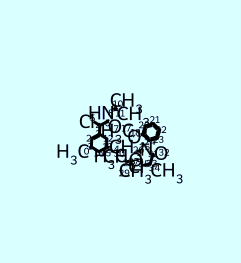 CC1C=C(C(Cl)C(=O)NC(C)C)CC(C)(C)C1.COc1ccccc1N(COC(C)C)C(=O)C(C)Cl